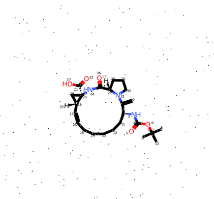 C=C1[C@@H](NC(=O)OC(C)(C)C)CCCCC/C=C\[C@@H]2C[C@@]2(C(=O)O)NC(=O)[C@@H]2CCCN12